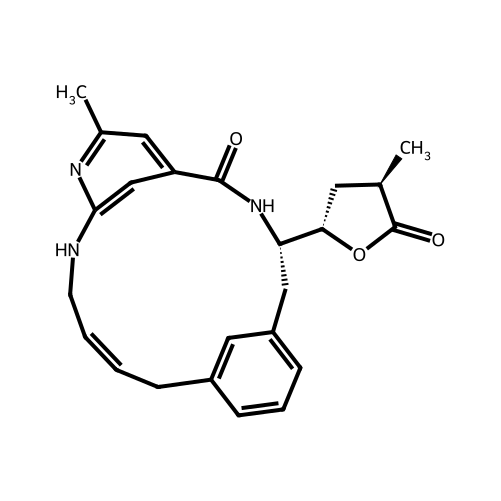 Cc1cc2cc(n1)NC/C=C\Cc1cccc(c1)C[C@@H]([C@@H]1C[C@@H](C)C(=O)O1)NC2=O